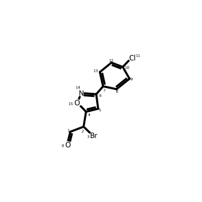 O=CC(Br)c1cc(-c2ccc(Cl)cc2)no1